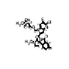 CN1CC[C@@]2(C1=O)c1ccc(F)cc1C(=O)N2Cc1cc2nc(Cl)c(F)cc2n1COCC[Si](C)(C)C